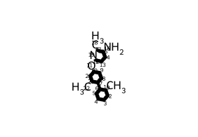 Cc1ccccc1-c1ccc(Oc2ccc(N)c(C)n2)cc1C